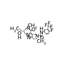 C=C[C@H](O)[C@H]1CN(C)C(=O)c2c3c(nn2C1)C[C@@H](C)N(C(=O)Nc1ccc(F)c(C(F)(F)F)c1)C3